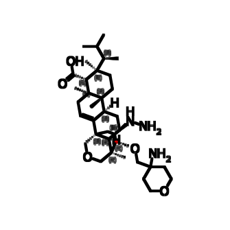 CC(C)[C@@H](C)[C@@]1(C)CC[C@]2(C)[C@H]3CC[C@@H]4[C@@]5(COC[C@]4(C)[C@@H](OCC4(N)CCOCC4)[C@H](NN)C5)C3=CC[C@@]2(C)[C@@H]1C(=O)O